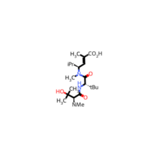 CN[C@H](C(=O)N[C@H](C(=O)N(C)[C@H](/C=C(\C)C(=O)O)C(C)C)C(C)(C)C)C(C)(C)O